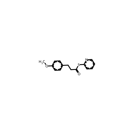 COc1ccc(CCC(=O)Sc2ccccn2)cc1